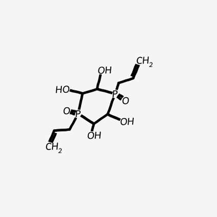 C=CCP1(=O)C(O)C(O)P(=O)(CC=C)C(O)C1O